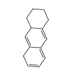 C1=CCC2=CC3CCCCC3=CC2=C1